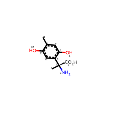 Cc1cc(O)c([C@@](C)(N)C(=O)O)cc1O